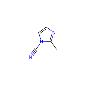 Cc1nccn1C#N